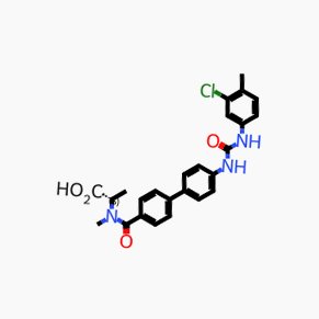 Cc1ccc(NC(=O)Nc2ccc(-c3ccc(C(=O)N(C)[C@@H](C)C(=O)O)cc3)cc2)cc1Cl